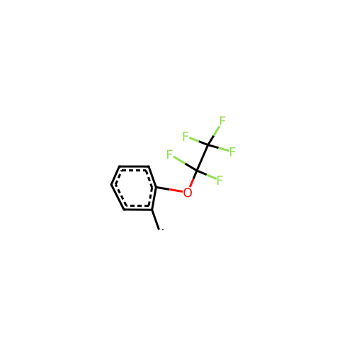 [CH2]c1ccccc1OC(F)(F)C(F)(F)F